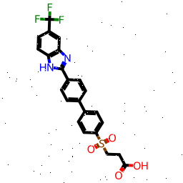 O=C(O)CCS(=O)(=O)c1ccc(-c2ccc(-c3nc4cc(C(F)(F)F)ccc4[nH]3)cc2)cc1